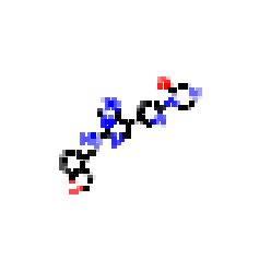 O=C1CNCCN1c1ccc(-c2cnc(NCc3cccc4c3CCO4)n3cnnc23)cn1